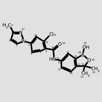 Cc1ccn(-c2ccc(C(=O)Nc3ccc4c(c3)B(O)OC4(C)C)c(Cl)c2)n1